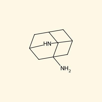 NC12CC3CC(C1)NC(C3)C2